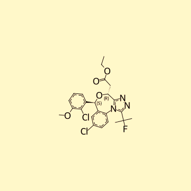 CCOC(=O)C[C@H]1O[C@H](c2cccc(OC)c2Cl)c2cc(Cl)ccc2-n2c1nnc2C(C)(C)F